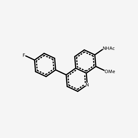 COc1c(NC(C)=O)ccc2c(-c3ccc(F)cc3)ccnc12